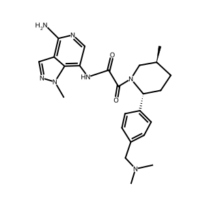 C[C@H]1CC[C@H](c2ccc(CN(C)C)cc2)N(C(=O)C(=O)Nc2cnc(N)c3cnn(C)c23)C1